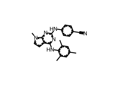 Cc1cc(C)c(Nc2nc(Nc3ccc(C#N)cc3)nc3c2ccn3C)c(C)c1